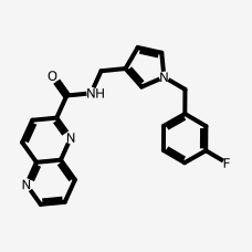 O=C(NCc1ccn(Cc2cccc(F)c2)c1)c1ccc2ncccc2n1